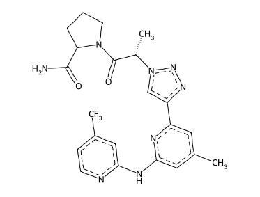 Cc1cc(Nc2cc(C(F)(F)F)ccn2)nc(-c2cn([C@@H](C)C(=O)N3CCCC3C(N)=O)nn2)c1